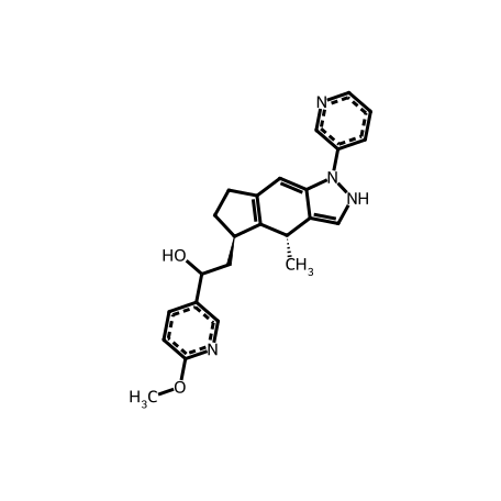 COc1ccc(C(O)C[C@H]2CCC3=C2[C@@H](C)C2=CNN(c4cccnc4)C2=C3)cn1